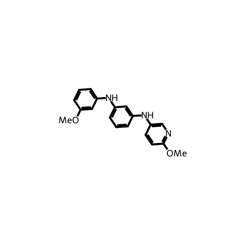 COc1cccc(Nc2cccc(Nc3ccc(OC)nc3)c2)c1